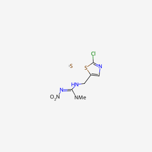 CN/C(=N\[N+](=O)[O-])NCc1cnc(Cl)s1.[S]